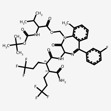 Cc1cccc2c1N(COC(=O)C(NC(=O)OC(C)(C)C)C(C)C)C(=O)C(NC(=O)[C@H](CCC(F)(F)F)[C@H](CCC(F)(F)F)C(N)=O)N=C2c1cccc(F)c1